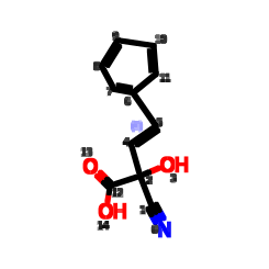 N#CC(O)(/C=C/c1ccccc1)C(=O)O